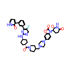 O=C1CCC(n2c(=O)oc3cc(N4CCN(CC5CCN(C(=O)[C@H]6CC[C@H](Nc7ncc(F)c(-c8cccc(-c9ccc[nH]c9=O)c8)n7)CC6)CC5)CC4)ccc32)C(=O)N1